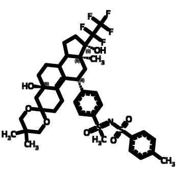 Cc1ccc(S(=O)(=O)N=S(C)(=O)c2ccc([C@H]3C[C@@]4(C)C(CC[C@@]4(O)C(F)(F)C(F)(F)F)C4CC[C@@]5(O)CC6(CCC5=C43)OCC(C)(C)CO6)cc2)cc1